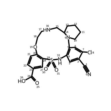 N#Cc1cc2c(cc1Cl)N1CCCCC1CNCCOc1ccc(C(=O)O)cc1S(=O)(=O)N2